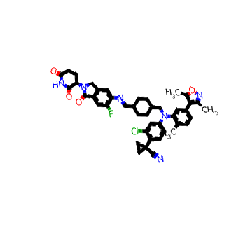 Cc1ccc(-c2c(C)noc2C)cc1N(CC1CCC(/C=N/c2cc3c(cc2F)C(=O)N(C2CCC(=O)NC2=O)C3)CC1)c1ccc(C2(C#N)CC2)c(Cl)c1